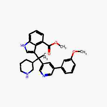 COC(=O)c1cccc2[nH]cc(C(C)(c3cncc(-c4cccc(OC)c4)c3)C3CCCNC3)c12